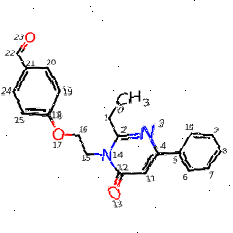 CCc1nc(-c2ccccc2)cc(=O)n1CCOc1ccc(C=O)cc1